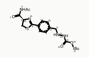 CC(=O)NC(=O)[C@@H]1CSC(c2ccc(CNNC(=O)OC(C)(C)C)cc2)=N1